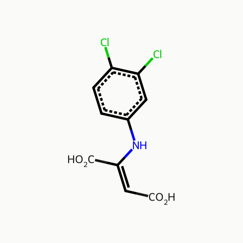 O=C(O)/C=C(\Nc1ccc(Cl)c(Cl)c1)C(=O)O